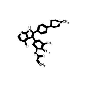 C=CC(=O)Nc1cc(-c2c(-c3ccc(C4CCN(C)CC4)cc3)[nH]c3nccc(Cl)c23)cc(C)c1C